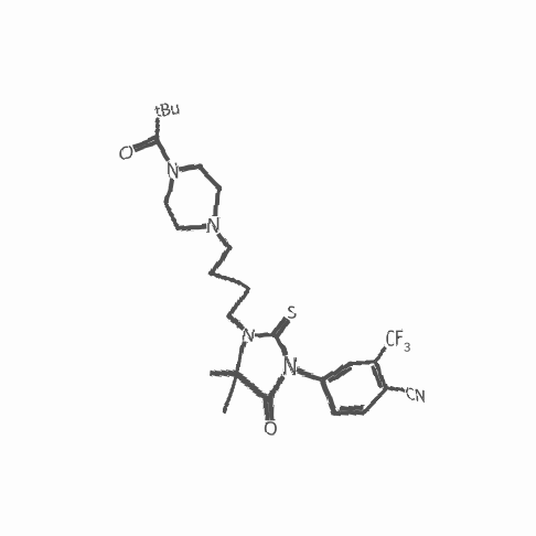 CC(C)(C)C(=O)N1CCN(CCCCN2C(=S)N(c3ccc(C#N)c(C(F)(F)F)c3)C(=O)C2(C)C)CC1